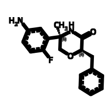 C[C@@]1(c2cc(N)ccc2F)CO[C@H](Cc2ccccc2)C(=O)N1